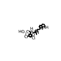 Cc1nn(CCc2ccc3c(n2)NCCC3)cc1C(=O)NC(CC(=O)O)c1cc(Cl)cc(Cl)c1